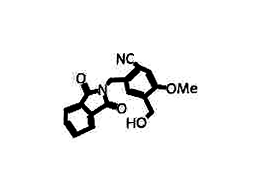 COc1cc(C#N)c(CN2C(=O)c3ccccc3C2=O)cc1CO